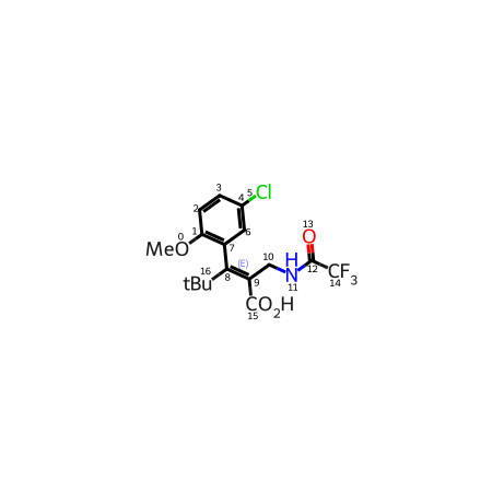 COc1ccc(Cl)cc1/C(=C(\CNC(=O)C(F)(F)F)C(=O)O)C(C)(C)C